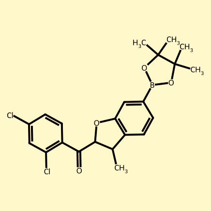 CC1c2ccc(B3OC(C)(C)C(C)(C)O3)cc2OC1C(=O)c1ccc(Cl)cc1Cl